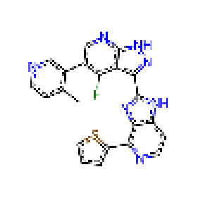 Cc1ccncc1-c1cnc2[nH]nc(-c3nc4c(-c5cccs5)nccc4[nH]3)c2c1F